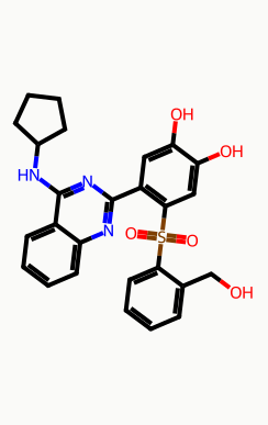 O=S(=O)(c1ccccc1CO)c1cc(O)c(O)cc1-c1nc(NC2CCCC2)c2ccccc2n1